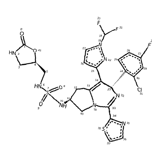 O=C1NC[C@H](CNS(=O)(=O)N[C@H]2CC3=C(c4ccn(C(F)F)n4)[C@H](c4ccc(F)cc4Cl)N=C(c4nccs4)N3C2)O1